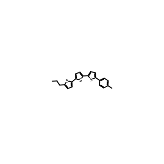 CCCc1ccc(-c2ccc(-c3ccc(-c4ccc(C)cc4)s3)s2)s1